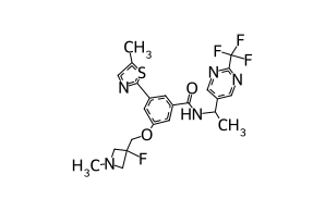 Cc1cnc(-c2cc(OCC3(F)CN(C)C3)cc(C(=O)NC(C)c3cnc(C(F)(F)F)nc3)c2)s1